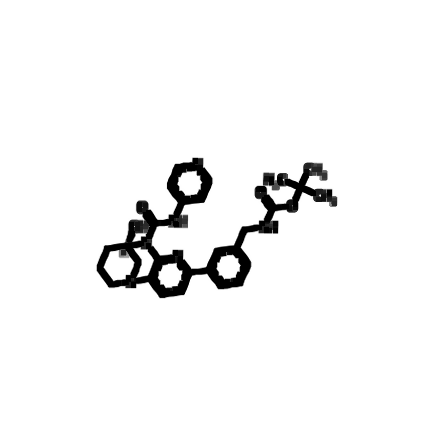 CC(C)(C)OC(=O)NCc1cccc(-c2ccc3c(n2)N(C(=O)Nc2ccncc2)[C@@]2(O)CCCN3C2)c1